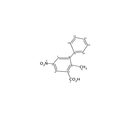 Cc1c(C(=O)O)cc([N+](=O)[O-])cc1-c1ccccc1